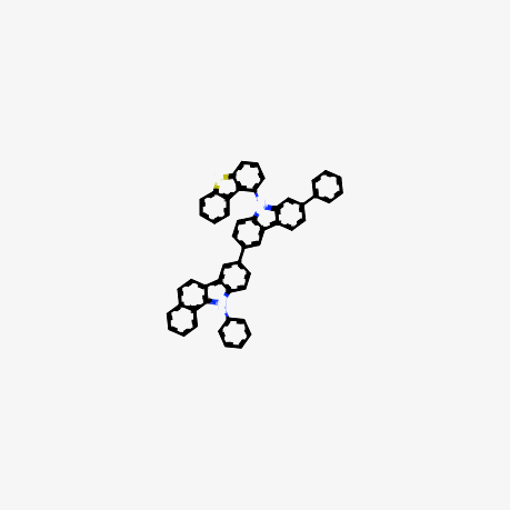 c1ccc(-c2ccc3c4cc(-c5ccc6c(c5)c5ccc7ccccc7c5n6-c5ccccc5)ccc4n(-c4cccc5sc6ccccc6c45)c3c2)cc1